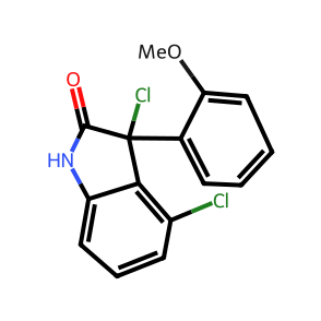 COc1ccccc1C1(Cl)C(=O)Nc2cccc(Cl)c21